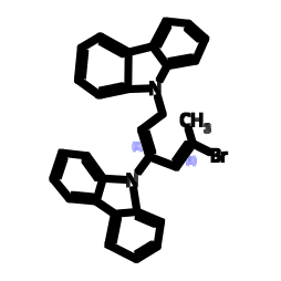 C/C(Br)=C\C(=C/Cn1c2ccccc2c2ccccc21)n1c2ccccc2c2ccccc21